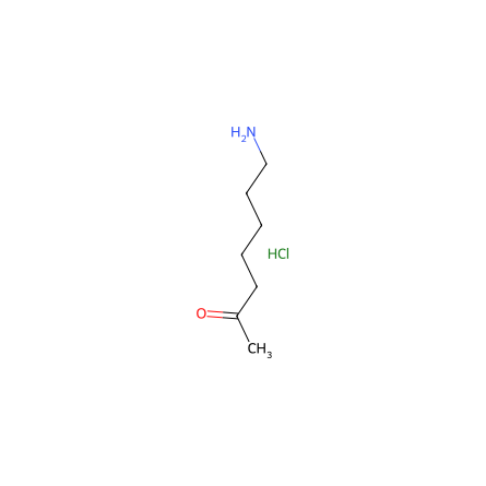 CC(=O)CCCCCN.Cl